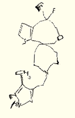 Cc1n[nH]cc1CN1CCC2(CC1)OCC(F)(F)c1ccsc12